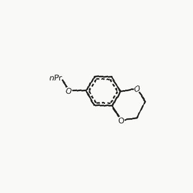 CCCOc1ccc2c(c1)OCCO2